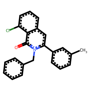 Cc1cccc(-c2cc3cccc(Cl)c3c(=O)n2Cc2ccccc2)c1